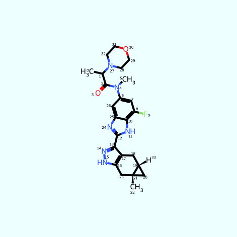 CC(C(=O)N(C)c1cc(F)c2[nH]c(-c3n[nH]c4c3C[C@@H]3C[C@]3(C)C4)nc2c1)N1CCOCC1